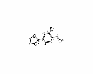 O=Cc1ccc(C2OCCO2)cc1Br